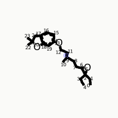 CCC1(CC)OC1CC/C(C)=C/COc1ccc2c(c1)OC(C)(C)C2